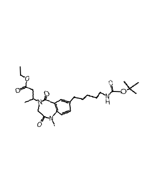 CCOC(=O)CC(C)N1CC(=O)N(C)c2ccc(CCCCCNC(=O)OC(C)(C)C)cc2C1=O